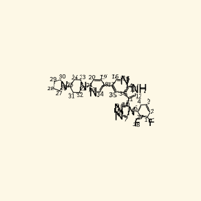 Fc1cccc(-n2cnnc2-c2c[nH]c3ncc(-c4ccc(N5CCC(N6CCCC6)CC5)nc4)cc23)c1F